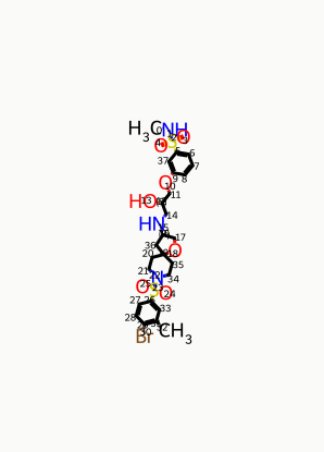 CNS(=O)(=O)c1cccc(OC[C@@H](O)CN[C@H]2COC3(CCN(S(=O)(=O)c4ccc(Br)c(C)c4)CC3)C2)c1